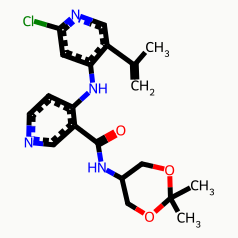 C=C(C)c1cnc(Cl)cc1Nc1ccncc1C(=O)NC1COC(C)(C)OC1